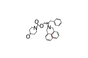 O=C1CCN(C(=O)OC[C@@H](Cc2ccccc2)N(Cc2ccccc2)Cc2ccccc2)CC1